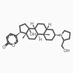 C[C@]12CC[C@H](N3CCCC3CO)C[C@H]1CC[C@@H]1[C@@H]2CC[C@]2(C)[C@@H](c3ccc(=O)oc3)CC[C@]12O